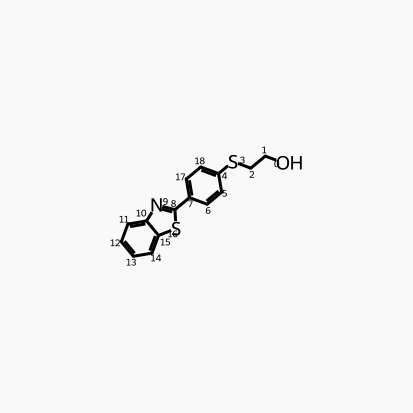 OCCSc1ccc(-c2nc3ccccc3s2)cc1